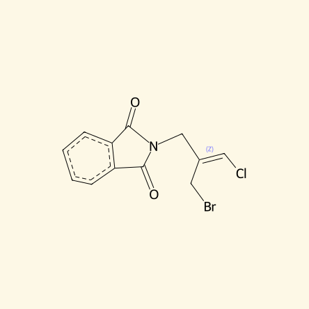 O=C1c2ccccc2C(=O)N1C/C(=C/Cl)CBr